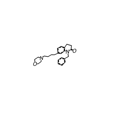 O=C1CCc2ccc(CCCCN3CCOCC3)cc2N1Cc1ccccc1